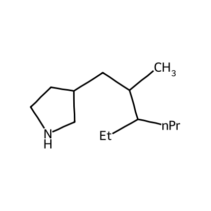 CCCC(CC)C(C)CC1CCNC1